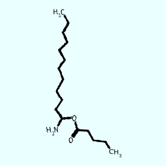 CCCCCCCCCCCC(N)OC(=O)CCCC